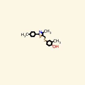 Cc1ccc(-c2nc(C)c(CSc3ccc(O)c(C)c3)s2)cc1